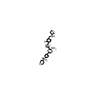 Nc1ncc(-c2ccc(S(=O)(=O)C3CCOCC3)cc2)nc1-c1nnc(-c2ccc(CNC3CCOC3)cc2F)o1